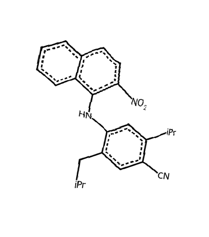 CC(C)Cc1cc(C#N)c(C(C)C)cc1Nc1c([N+](=O)[O-])ccc2ccccc12